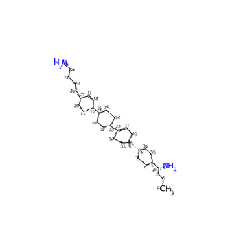 CCC[C@@H](N)C1CCC([C@H]2CC=C(C3CCC(C4C=CC(CCCCN)CC4)CC3)CC2)CC1